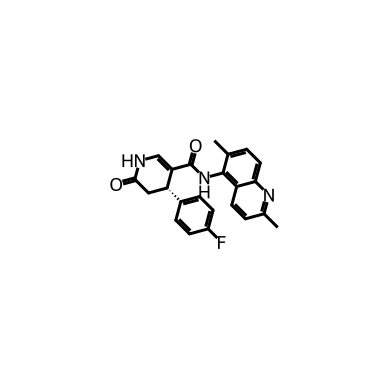 Cc1ccc2c(NC(=O)C3=CNC(=O)C[C@H]3c3ccc(F)cc3)c(C)ccc2n1